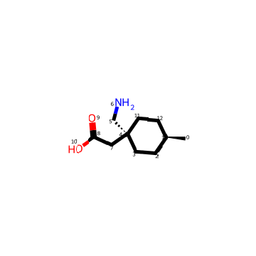 C[C@H]1CC[C@@](CN)(CC(=O)O)CC1